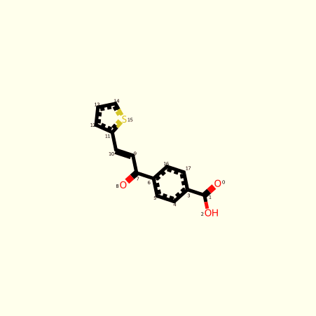 O=C(O)c1ccc(C(=O)C=Cc2cccs2)cc1